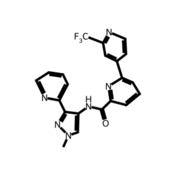 Cn1cc(NC(=O)c2cccc(-c3ccnc(C(F)(F)F)c3)n2)c(-c2ccccn2)n1